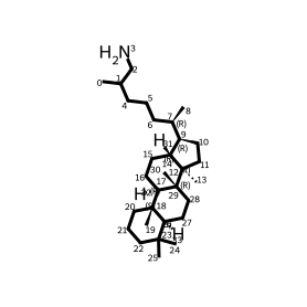 CC(CN)CCC[C@@H](C)[C@H]1CC[C@]2(C)[C@@H]1CC[C@@H]1[C@@]3(C)CCCC(C)(C)[C@@H]3CC[C@]12C